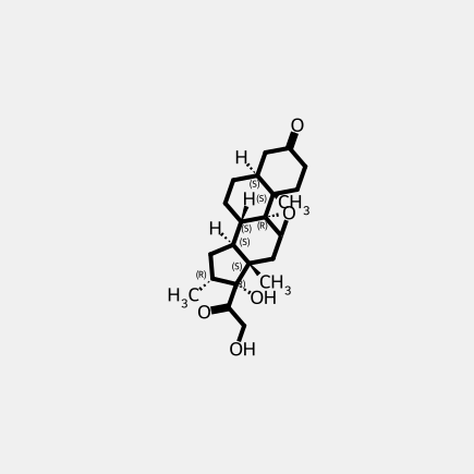 C[C@@H]1C[C@H]2[C@@H]3CC[C@H]4CC(=O)CC[C@]4(C)[C@]34OC4C[C@]2(C)[C@@]1(O)C(=O)CO